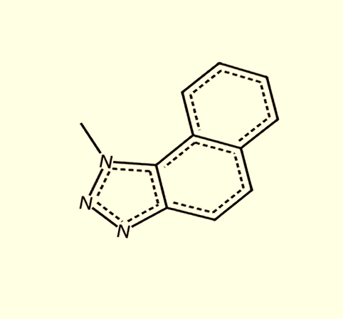 Cn1nnc2ccc3ccccc3c21